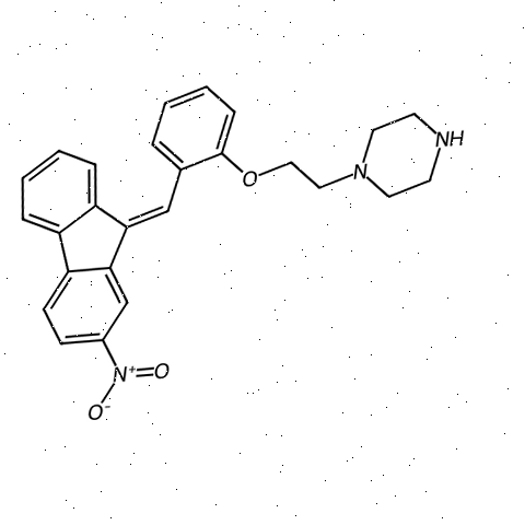 O=[N+]([O-])c1ccc2c(c1)/C(=C/c1ccccc1OCCN1CCNCC1)c1ccccc1-2